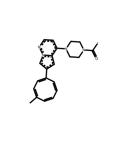 CC1=C/C=C(c2cc3c(N4CCN(C(=O)I)CC4)ccnn3c2)\C=C/C=C\1